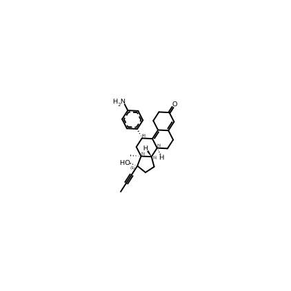 CC#C[C@]1(O)CC[C@H]2[C@@H]3CCC4=CC(=O)CCC4=C3[C@@H](c3ccc(N)cc3)C[C@@]21C